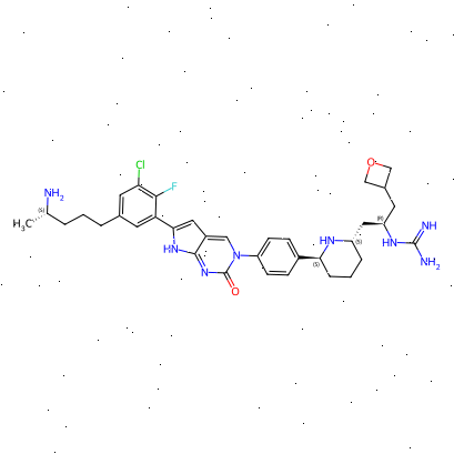 C[C@H](N)CCCc1cc(Cl)c(F)c(-c2cc3cn(-c4ccc([C@@H]5CCC[C@@H](C[C@@H](CC6COC6)NC(=N)N)N5)cc4)c(=O)nc3[nH]2)c1